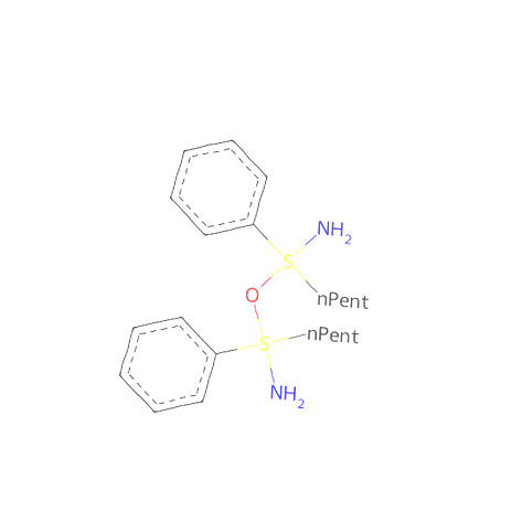 CCCCCS(N)(OS(N)(CCCCC)c1ccccc1)c1ccccc1